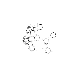 c1ccc(-c2cc(-c3cc(-n4c5cccnc5c5ncccc54)c(-n4c5ccccc5c5ccccc54)c(-n4c5cccnc5c5ncccc54)c3)nc(-c3ccccc3)n2)cc1